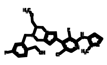 COCC1Cn2cc(-c3c(Cl)cnc(Nc4ccnn4C)c3F)cc2CN1Cc1cc(F)ccc1CO